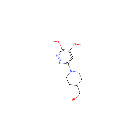 COc1cc(N2CCC(CO)CC2)nnc1OC